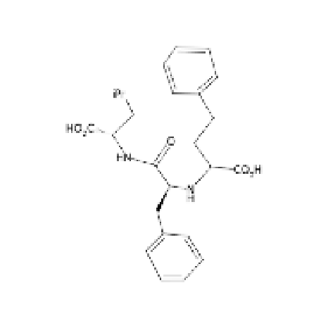 CC(C)C[C@H](NC(=O)[C@H](Cc1ccccc1)NC(CCc1ccccc1)C(=O)O)C(=O)O